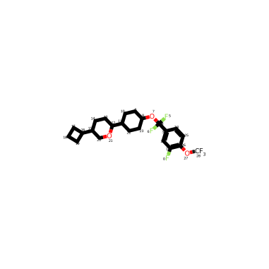 Fc1cc(C(F)(F)OC2CCC(C3CCC(C4CCC4)CO3)CC2)ccc1OC(F)(F)F